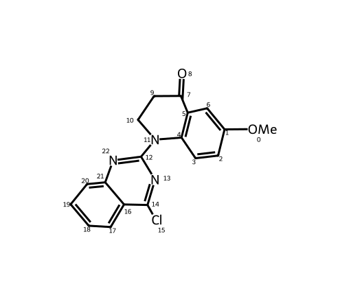 COc1ccc2c(c1)C(=O)CCN2c1nc(Cl)c2ccccc2n1